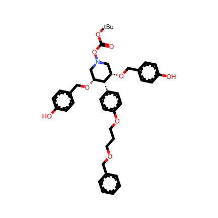 CC(C)(C)OC(=O)ON1C[C@H](OCc2ccc(O)cc2)[C@H](c2ccc(OCCCOCc3ccccc3)cc2)[C@H](OCc2ccc(O)cc2)C1